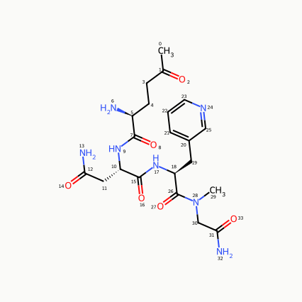 CC(=O)CC[C@H](N)C(=O)N[C@@H](CC(N)=O)C(=O)N[C@@H](Cc1cccnc1)C(=O)N(C)CC(N)=O